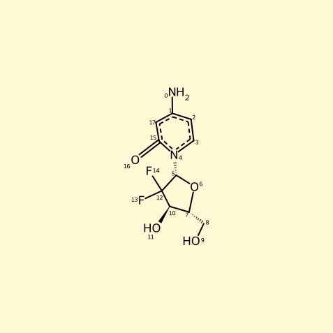 Nc1ccn([C@@H]2O[C@H](CO)[C@@H](O)C2(F)F)c(=O)c1